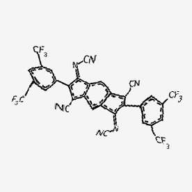 N#C/N=c1/c(-c2cc(C(F)(F)F)cc(C(F)(F)F)c2)c(C#N)c2cc3/c(=N\C#N)c(-c4cc(C(F)(F)F)cc(C(F)(F)F)c4)c(C#N)c3cc12